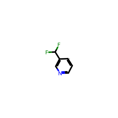 FC(F)c1[c]ccnc1